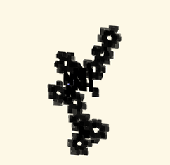 C=C(NC(/N=C(\N)n1c2ccccc2c2cc(-c3ccc4c(c3)c3ccccc3n4-c3ccccc3)ccc21)c1ccccc1)c1cccc(-c2ccc(-c3ccccc3)cc2)c1